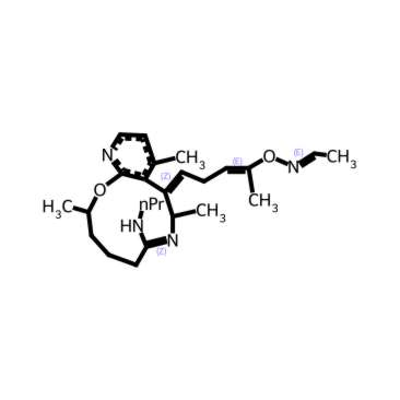 C/C=N/O/C(C)=C/C/C=C1/c2c(C)ccnc2OC(C)CCC/C(NCCC)=N/C1C